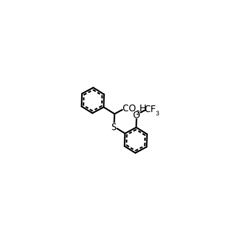 O=C(O)C(Sc1ccccc1OC(F)(F)F)c1ccccc1